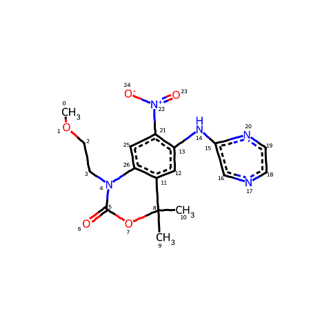 COCCN1C(=O)OC(C)(C)c2cc(Nc3cnccn3)c([N+](=O)[O-])cc21